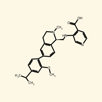 COc1cc(C(C)C)ccc1-c1ccc2c(c1)CCN(C)[C@H]2CNc1cnccc1C(=O)O